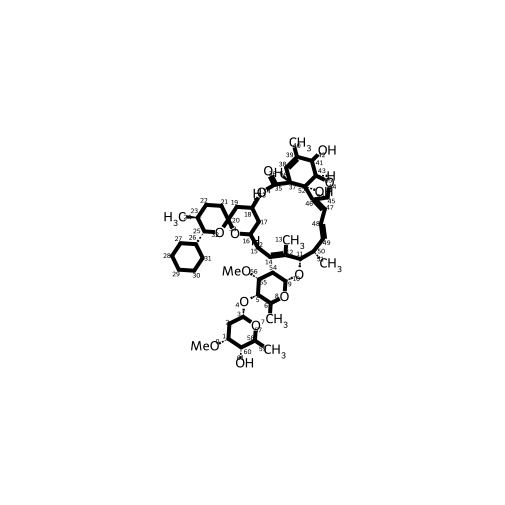 CO[C@@H]1C[C@H](O[C@H]2C(C)O[C@@H](O[C@@H]3/C(C)=C/C[C@@H]4C[C@@H](CC5(CC[C@H](C)[C@@H](C6CCCCC6)O5)O4)OC(=O)[C@@H]4C=C(C)C(O)[C@H]5OC/C(=C\C=C\[C@@H]3C)[C@]54O)C[C@H]2OC)OC(C)[C@@H]1O